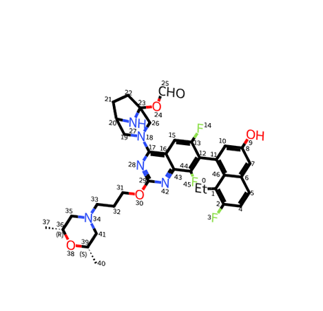 CCc1c(F)ccc2cc(O)cc(-c3c(F)cc4c(N5CC6CCC(OC=O)(C5)N6)nc(OCCCN5C[C@@H](C)O[C@@H](C)C5)nc4c3F)c12